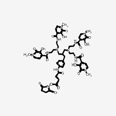 Cn1ccc(C(=O)NCCN(CCNC(=O)c2ccn(C)c(=O)c2O)CC(Cc2ccc(NC(=O)CCC(=O)ON3C(=O)CCC3=O)cc2)CN(CCNC(=O)c2ccn(C)c(=O)c2O)CCNC(=O)c2ccn(C)c(=O)c2O)c(O)c1=O